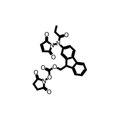 CCC(=O)N(c1ccc2c(c1)C(COC(=O)ON1C(=O)CCC1=O)c1ccccc1-2)N1C(=O)C=CC1=O